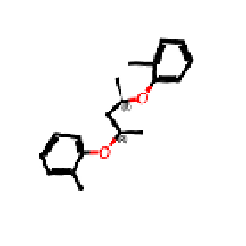 Cc1ccccc1O[C@H](C)C[C@@H](C)Oc1ccccc1C